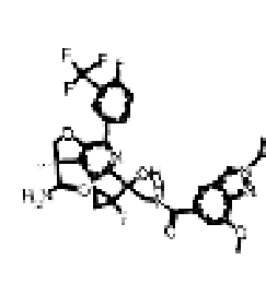 COc1cc(C(=O)NCC(O)(c2cc3c(c(-c4ccc(F)c(C(F)(F)F)c4)n2)OC[C@]3(C)C(N)=O)C2(F)CC2)cc2cn(C3CC3)nc12